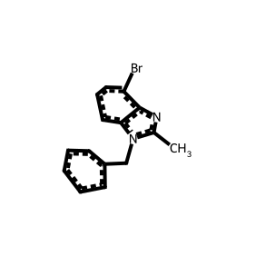 Cc1nc2c(Br)cccc2n1Cc1ccccc1